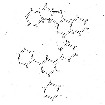 c1ccc(-c2nc(-c3ccccc3)nc(-c3cccc(-c4nc5c(nc6oc7ccccc7n65)c5ccccc45)c3)n2)cc1